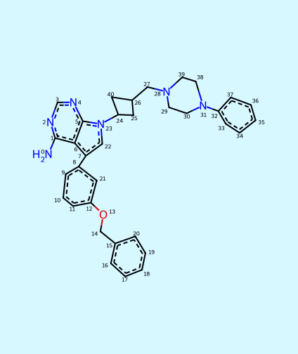 Nc1ncnc2c1c(-c1cccc(OCc3ccccc3)c1)cn2C1CC(CN2CCN(c3ccccc3)CC2)C1